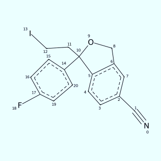 N#Cc1ccc2c(c1)COC2(CCI)c1ccc(F)cc1